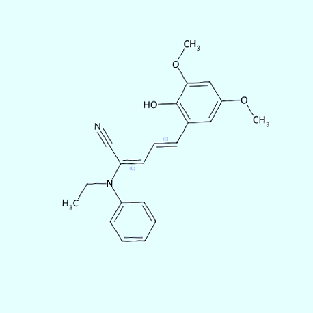 CCN(/C(C#N)=C/C=C/c1cc(OC)cc(OC)c1O)c1ccccc1